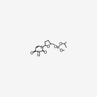 COP(OCC1CCC(n2ccc(=O)[nH]c2=O)O1)OC(C)C